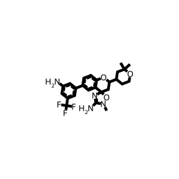 CN1OC2(CC(C3CCOC(C)(C)C3)Oc3ccc(-c4cc(N)cc(C(F)(F)F)c4)cc32)N=C1N